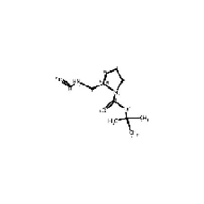 CC(C)(C)OC(=O)N1CCC[C@@H]1CN[C]=O